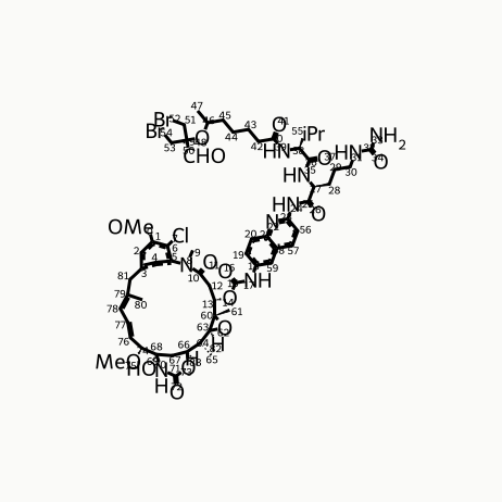 COc1cc2cc(c1Cl)N(C)C(=O)C[C@H](OC(=O)Nc1ccc3nc(NC(=O)[C@H](CCCNC(N)=O)NC(=O)[C@@H](NC(=O)CCCCC(C)OC(C=O)(CBr)CBr)C(C)C)ccc3c1)[C@]1(C)O[C@H]1[C@H](C)[C@@H]1C[C@@](O)(NC(=O)O1)[C@H](OC)/C=C/C=C(\C)C2